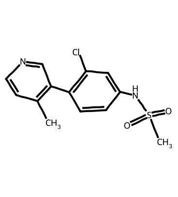 Cc1ccncc1-c1ccc(NS(C)(=O)=O)cc1Cl